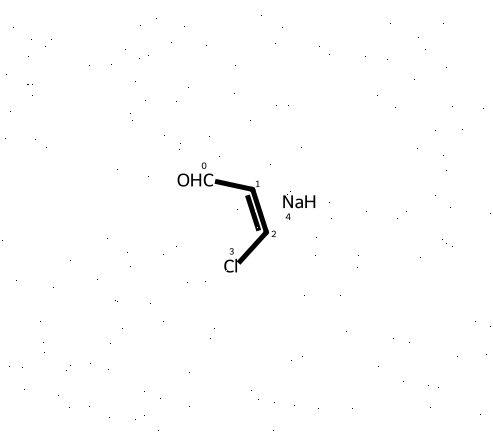 O=C/C=C\Cl.[NaH]